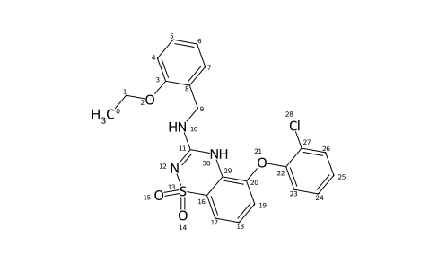 CCOc1ccccc1CNC1=NS(=O)(=O)c2cccc(Oc3ccccc3Cl)c2N1